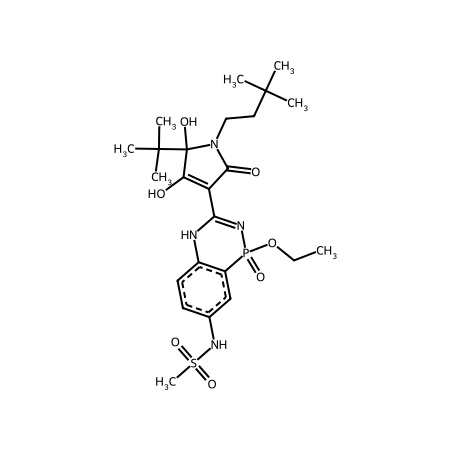 CCOP1(=O)N=C(C2=C(O)C(O)(C(C)(C)C)N(CCC(C)(C)C)C2=O)Nc2ccc(NS(C)(=O)=O)cc21